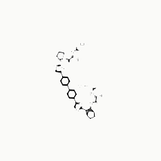 COC(=O)N[C@H](C(=O)NC1C2CCC(C2)C1c1ncc(-c2ccc(-c3ccc(-c4cnc([C@@H]5CCCN5C(=O)[C@@H](NC(=O)OC)C(C)C)[nH]4)cc3)cc2)[nH]1)C(C)C